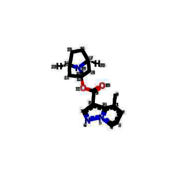 Cc1cccn2ncc(C(=O)O[C@H]3C[C@H]4CC[C@@H](C3)N4C)c12